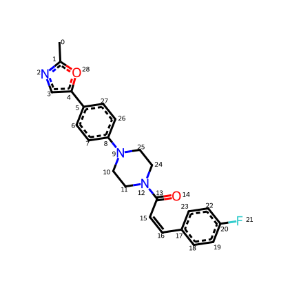 Cc1ncc(-c2ccc(N3CCN(C(=O)/C=C\c4ccc(F)cc4)CC3)cc2)o1